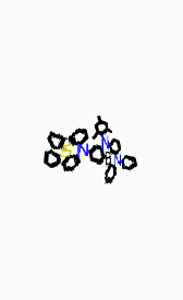 Cc1cc(C)c(N2c3cc(N4c5ccccc5S(c5ccccc5)(c5ccccc5)c5ccccc54)ccc3B3c4ccccc4N(c4ccccc4)c4cccc2c43)c(C)c1